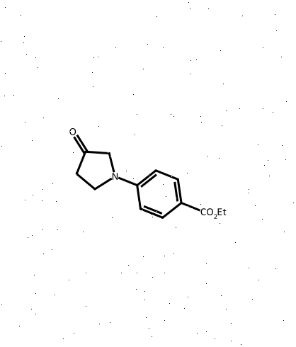 CCOC(=O)c1ccc(N2CCC(=O)C2)cc1